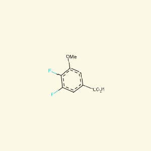 COc1cc(C(=O)O)cc(F)c1F